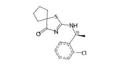 C[C@H](NC1=NC(=O)C2(CCCC2)S1)c1ccccc1Cl